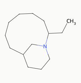 CCC1CCCCCCC2CCCN1C2